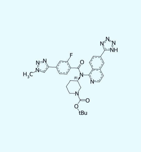 Cn1cc(-c2ccc(C(=O)N(c3nccc4cc(-c5nnn[nH]5)ccc34)[C@@H]3CCCN(C(=O)OC(C)(C)C)C3)c(F)c2)nn1